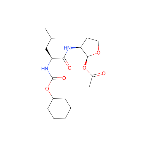 CC(=O)O[C@@H]1OCC[C@@H]1NC(=O)[C@H](CC(C)C)NC(=O)OC1CCCCC1